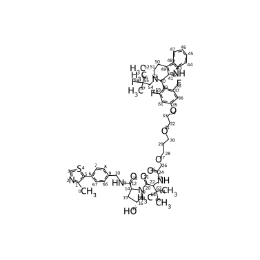 Cc1ncsc1-c1ccc(CNC(=O)[C@@H]2C[C@@H](O)CN2C(=O)C(NC(=O)COCCCOCCOc2cc(F)c([C@@H]3c4[nH]c5ccccc5c4C[C@@H](C)N3CC(C)(C)F)c(F)c2)C(C)(C)C)cc1